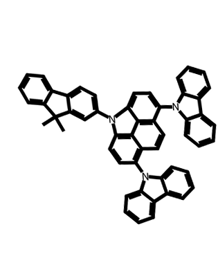 CC1(C)c2ccccc2-c2ccc(-n3c4ccc(-n5c6ccccc6c6ccccc65)c5ccc6c(-n7c8ccccc8c8ccccc87)ccc3c6c54)cc21